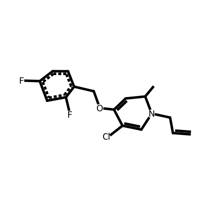 C=CCN1C=C(Cl)C(OCc2ccc(F)cc2F)=CC1C